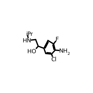 CC(C)NCC(O)c1cc(F)c(N)c(Cl)c1